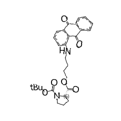 CC(C)(C)OC(=O)N1CCC[C@H]1C(=O)OCCCCNc1cccc2c1C(=O)c1ccccc1C2=O